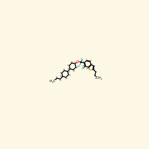 CCCc1cc2ccc(C(F)(F)OC3CCC(C4CCC(CCC)CC4)CC3)c(F)c2s1